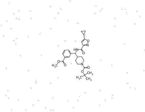 COC(=O)c1cccc(C(NC(=O)c2cc(C3CC3)on2)C2CCN(C(=O)OC(C)(C)C)CC2)c1